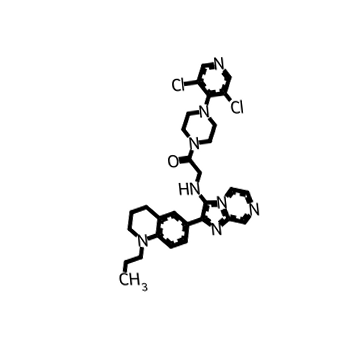 CCCN1CCCc2cc(-c3nc4cnccn4c3NCC(=O)N3CCN(c4c(Cl)cncc4Cl)CC3)ccc21